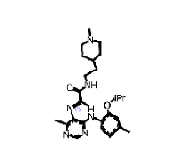 C/C(=N\c1c(C)ncnc1Nc1ccc(C)cc1OC(C)C)C(=O)NCCC1CCN(C)CC1